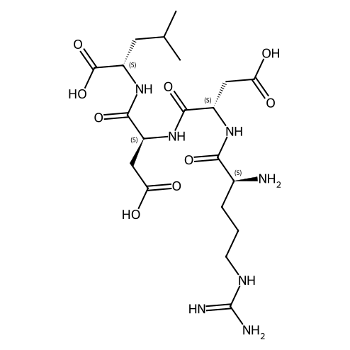 CC(C)C[C@H](NC(=O)[C@H](CC(=O)O)NC(=O)[C@H](CC(=O)O)NC(=O)[C@@H](N)CCCNC(=N)N)C(=O)O